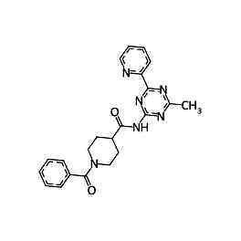 Cc1nc(NC(=O)C2CCN(C(=O)c3ccccc3)CC2)nc(-c2ccccn2)n1